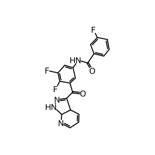 O=C(Nc1cc(F)c(F)c(C(=O)C2=NNC3N=CC=CC23)c1)c1cccc(F)c1